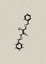 Br/C(COCc1ccccc1)=C(/I)COCc1ccccc1